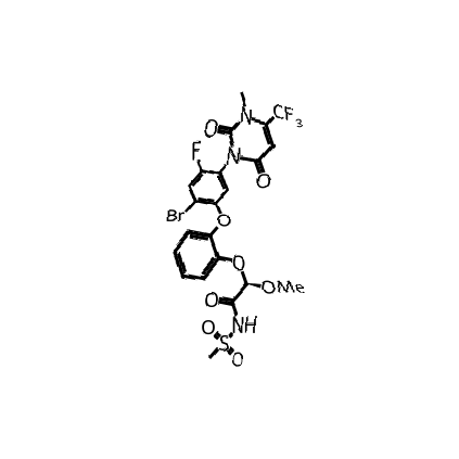 CO[C@H](Oc1ccccc1Oc1cc(-n2c(=O)cc(C(F)(F)F)n(C)c2=O)c(F)cc1Br)C(=O)NS(C)(=O)=O